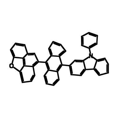 c1ccc(-n2c3ccccc3c3ccc(-c4c5ccccc5c(-c5cc6cccc7oc8cccc5c8c67)c5ccccc45)cc32)cc1